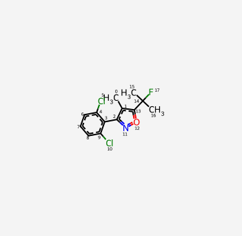 Cc1c(-c2c(Cl)cccc2Cl)noc1C(C)(C)F